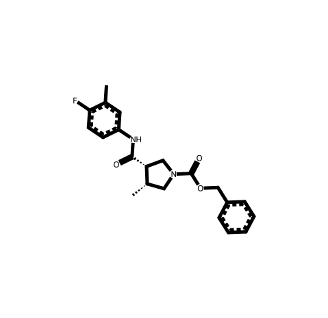 Cc1cc(NC(=O)[C@@H]2CN(C(=O)OCc3ccccc3)C[C@@H]2C)ccc1F